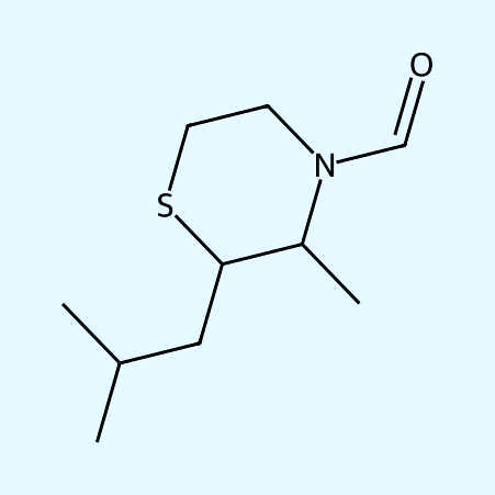 CC(C)CC1SCCN(C=O)C1C